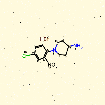 Br.NC1CCN(c2ccc(Cl)cc2[N+](=O)[O-])CC1